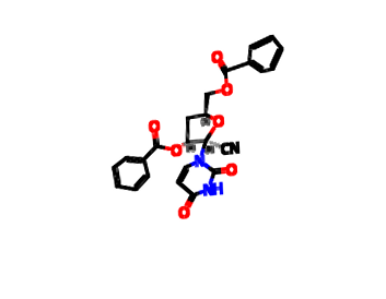 N#C[C@@]1(n2ccc(=O)[nH]c2=O)O[C@H](COC(=O)c2ccccc2)C[C@H]1OC(=O)c1ccccc1